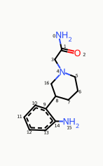 NC(=O)CN1CCCC(c2ccccc2N)C1